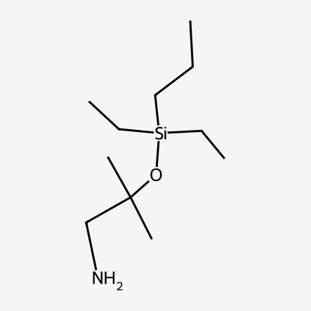 CCC[Si](CC)(CC)OC(C)(C)CN